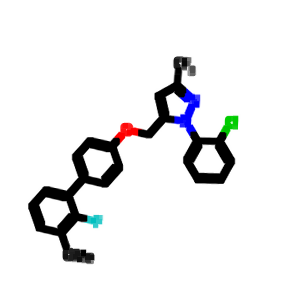 COc1cccc(-c2ccc(OCc3cc(C(F)(F)F)nn3-c3ccccc3Cl)cc2)c1F